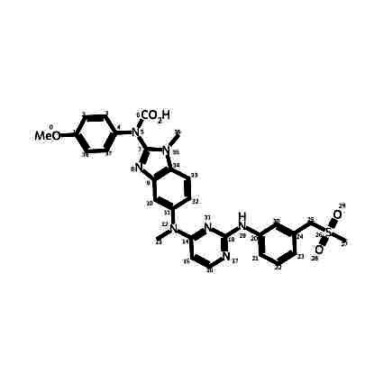 COc1ccc(N(C(=O)O)c2nc3cc(N(C)c4ccnc(Nc5cccc(CS(C)(=O)=O)c5)n4)ccc3n2C)cc1